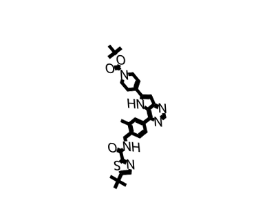 Cc1cc(-c2ncnc3cc(C4=CCN(C(=O)OC(C)(C)C)CC4)[nH]c23)ccc1CNC(=O)c1ncc(C(C)(C)C)s1